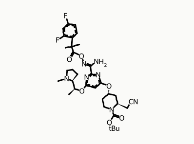 C[C@H](Oc1cc(O[C@H]2CCN(C(=O)OC(C)(C)C)[C@H](CC#N)C2)nc(C(N)=NOC(=O)C(C)(C)c2ccc(F)cc2F)n1)[C@@H]1CCCN1C